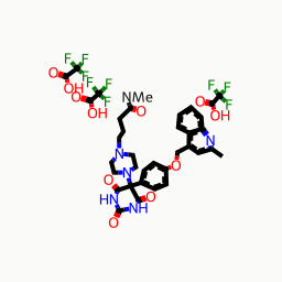 CNC(=O)CCCN1CCN(C2(c3ccc(OCc4cc(C)nc5ccccc45)cc3)C(=O)NC(=O)NC2=O)CC1.O=C(O)C(F)(F)F.O=C(O)C(F)(F)F.O=C(O)C(F)(F)F